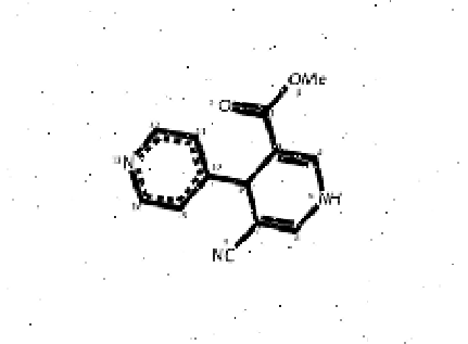 COC(=O)C1=CNC=C(C#N)C1c1ccncc1